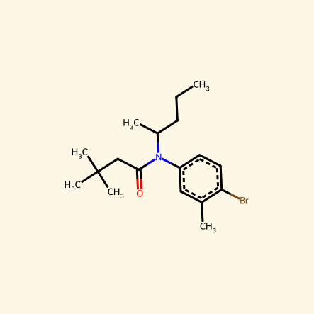 CCCC(C)N(C(=O)CC(C)(C)C)c1ccc(Br)c(C)c1